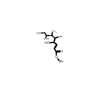 CCC(C)OC(=O)/C=C/C(O)C(O)C(C)C(O)CO